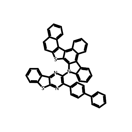 c1ccc(-c2ccc(-c3nc4sc5ccccc5c4nc3-n3c4ccccc4c4c5ccccc5c5c(sc6ccc7ccccc7c65)c43)cc2)cc1